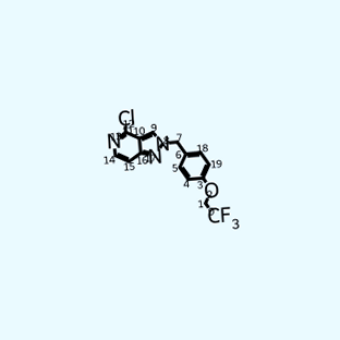 FC(F)(F)COc1ccc(Cn2cc3c(Cl)nccc3n2)cc1